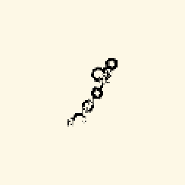 N#CCC(=O)N1CCN(c2ccc(CN3CCCCC(c4ccccc4)S3(=O)=O)cc2)CC1